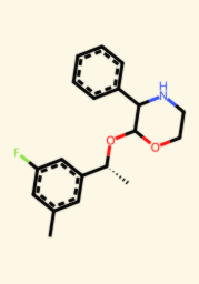 Cc1cc(F)cc([C@@H](C)OC2OCCNC2c2ccccc2)c1